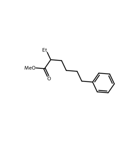 CCC(CCCCc1ccccc1)C(=O)OC